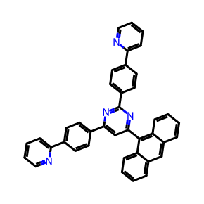 c1ccc(-c2ccc(-c3cc(-c4c5ccccc5cc5ccccc45)nc(-c4ccc(-c5ccccn5)cc4)n3)cc2)nc1